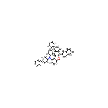 c1ccc(-c2ccc(N(c3ccc(-c4ccccc4)cc3)c3cccc4oc5c(-c6ccc7ccccc7c6)c6ccccc6cc5c34)cc2)cc1